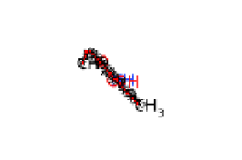 CCCCC/C=C\C/C=C\CCCCCCCC(=O)CCCCCCCCCCC(=O)NCC(O)CCCCCCCCCCCCCCCC